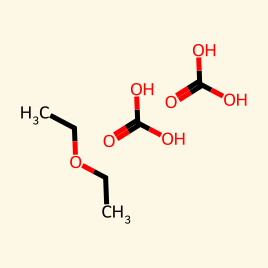 CCOCC.O=C(O)O.O=C(O)O